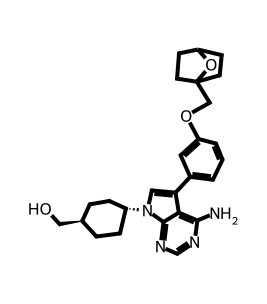 Nc1ncnc2c1c(-c1cccc(OCC34CCC(CC3)O4)c1)cn2[C@H]1CC[C@H](CO)CC1